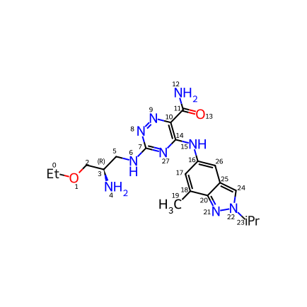 CCOC[C@H](N)CNc1nnc(C(N)=O)c(Nc2cc(C)c3nn(C(C)C)cc3c2)n1